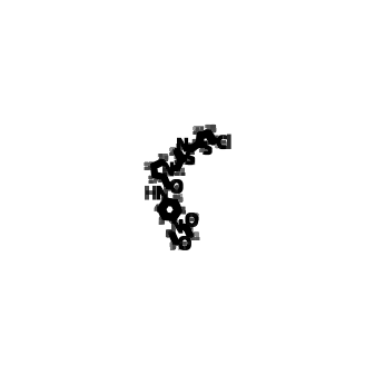 O=C(Nc1ccc(N2CCOCC2=O)cc1)C1CCCN1Cc1cnc(-c2ccc(Cl)s2)s1